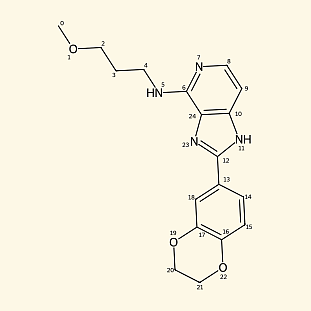 COCCCNc1nccc2[nH]c(-c3ccc4c(c3)OCCO4)nc12